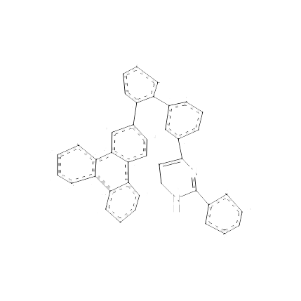 C1=C(c2cccc(-c3ccccc3-c3ccc4c5ccccc5c5ccccc5c4c3)c2)N=C(c2ccccc2)NC1